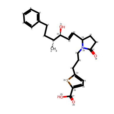 C[C@H](CCc1ccccc1)[C@@H](O)C=CC1CCC(=O)N1CCCc1ccc(C(=O)O)s1